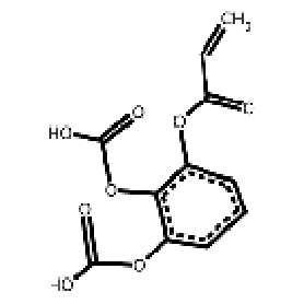 C=CC(=O)Oc1cccc(OC(=O)O)c1OC(=O)O